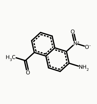 CC(=O)c1cccc2c([N+](=O)[O-])c(N)ccc12